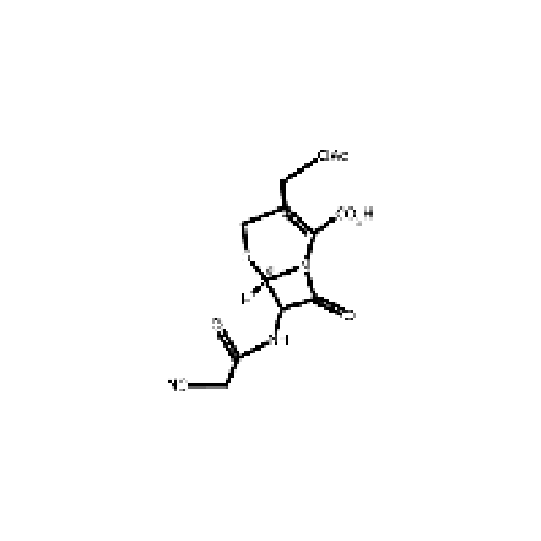 CC(=O)OCC1=C(C(=O)O)N2C(=O)C(NC(=O)CC#N)[C@@H]2SC1